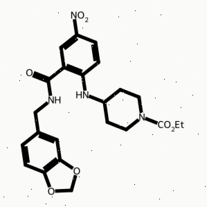 CCOC(=O)N1CCC(Nc2ccc([N+](=O)[O-])cc2C(=O)NCc2ccc3c(c2)OCO3)CC1